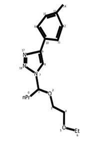 CCCC(OCCOCC)n1cc(-c2ccc(C)cc2)nn1